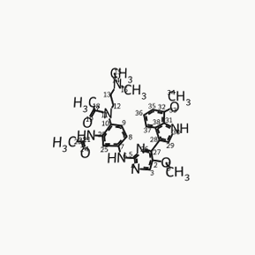 COc1cnc(Nc2ccc(N(CCN(C)C)C(C)=O)c(NC(C)=O)c2)nc1-c1c[nH]c2c(OC)cccc12